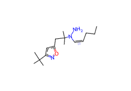 CCC/C=C\N(N)C(C)(C)Cc1cc(C(C)(C)C)no1